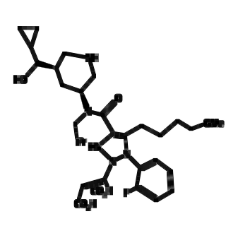 COCCCCC1=C(C(=O)N(CC(C)C)[C@@H]2CNC[C@H](C(O)C3CC3)C2)NN(/C(=C/C(=O)O)C(=O)O)N1c1ccccc1F